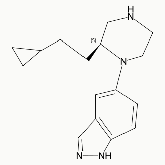 c1cc2[nH]ncc2cc1N1CCNC[C@@H]1CCC1CC1